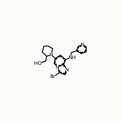 OCC1CCCCN1c1cc(NCc2cccnc2)c2ncc(Br)n2c1